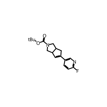 CC(C)(C)OC(=O)N1CC2C=C(c3ccc(F)nc3)CC2C1